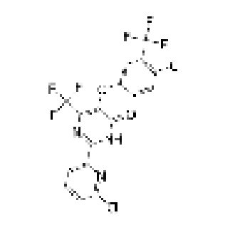 O=c1[nH]c(-c2cccc(Cl)n2)nc(C(F)(F)F)c1Oc1ccc(Cl)c(C(F)(F)F)c1